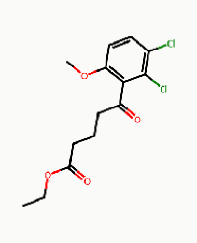 CCOC(=O)CCCC(=O)c1c(OC)ccc(Cl)c1Cl